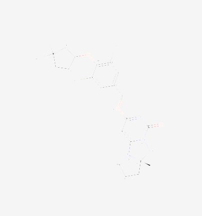 O=c1nc(OCc2cc(F)c(OC3CCC(F)(F)C3)c(F)c2)cc2n1C[C@@H]1CCCN21